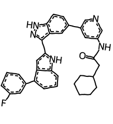 O=C(CC1CCCCC1)Nc1cncc(-c2ccc3[nH]nc(-c4cc5c(-c6cccc(F)c6)cccc5[nH]4)c3c2)c1